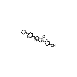 N#Cc1ccc(N2Cc3nn(-c4ccc(N5CCCC5)nc4)cc3C2=O)nc1